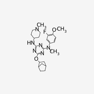 COc1ccc(N(C)c2nc(NC3CCN(C)CC3)nc(OC3CC4CCC3C4)n2)cc1F